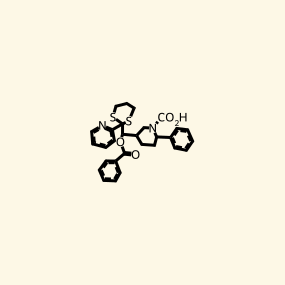 O=C(OC(C1CCC(c2ccccc2)N(C(=O)O)C1)C1(c2ccccn2)SCCCS1)c1ccccc1